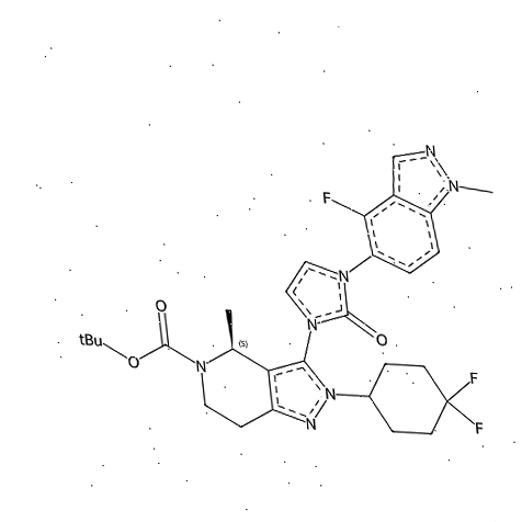 C[C@H]1c2c(nn(C3CCC(F)(F)CC3)c2-n2ccn(-c3ccc4c(cnn4C)c3F)c2=O)CCN1C(=O)OC(C)(C)C